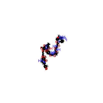 COc1ccc(C2=CN3C(=O)c4cc(OC)c(OCCCCCOc5cc6c(cc5OC)C(=O)N5CC7(CC7)C[C@H]5[C@H](O)N6C(=O)OCc5ccc(NC(=O)[C@H](C)NC(=O)[C@@H](NC(=O)CNC(=O)CNC(=O)CCC(=O)N6Cc7ccccc7/C(N)=C(/N(N)C(C)C)c7ccccc76)C(C)C)cc5)cc4NCC3C2)cc1